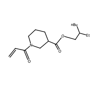 C=CC(=O)N1CCCC(C(=O)OCC(CC)CCCC)C1